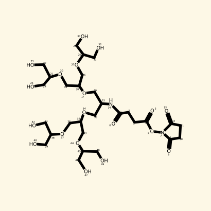 O=C(CCC(=O)ON1C(=O)CCC1=O)NC(COC(COC(CO)CO)COC(CO)CO)COC(COC(CO)CO)COC(CO)CO